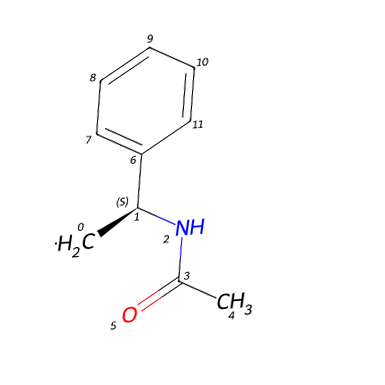 [CH2][C@H](NC(C)=O)c1ccccc1